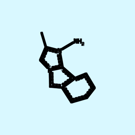 Cc1cn2cc3ccccc3c2n1N